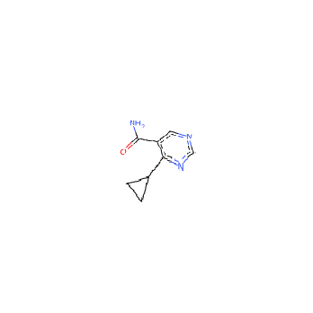 NC(=O)c1cn[c]nc1C1CC1